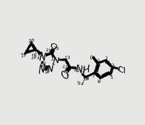 Cc1cc(Cl)ccc1[C@H](C)NC(=O)Cn1nnn(C2CC2)c1=O